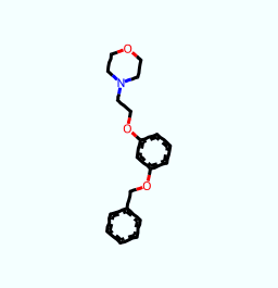 c1ccc(COc2cccc(OCCN3CCOCC3)c2)cc1